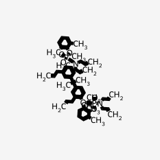 C=CCc1cc(C(C)(C)c2ccc(OP(=O)(Oc3c(C)cccc3C)C(C)(C)N(CC=C)CC=C)c(CC=C)c2)ccc1OC(C)(C)P(=O)(Oc1c(C)cccc1C)N(CC=C)CC=C